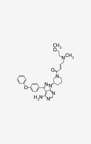 COCCN(C)C/C=C/C(=O)N1CCC[C@@H](n2nc(-c3ccc(Oc4ccccc4)cc3)c3c(N)ncnc32)C1